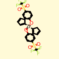 O=S(=O)(c1ccc([O][Zr]([O]c2ccc(S(=O)(=O)C(F)(F)F)cc2)([C]2=CC=CC2)[C]2=CC=CC2)cc1)C(F)(F)F